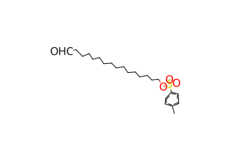 Cc1ccc(S(=O)(=O)OCCCCCCCCCCCCCCCC=O)cc1